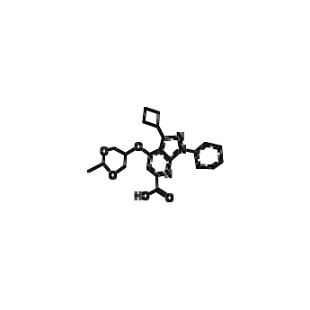 CC1OCC(Oc2cc(C(=O)O)nc3c2c(C2CCC2)nn3-c2ccccc2)CO1